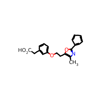 Cc1nc(-c2ccccc2)oc1CCOc1cccc(CC(=O)O)c1